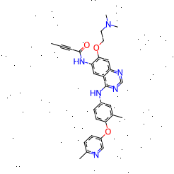 CC#CC(=O)Nc1cc2c(Nc3ccc(Oc4ccc(C)nc4)c(C)c3)ncnc2cc1OCCN(C)C